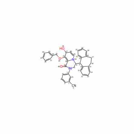 N#Cc1cccc(N2CC(C3c4ccccc4CCc4ccccc43)N3C=CC(O)C(OCc4ccccc4)=C3C2=O)c1